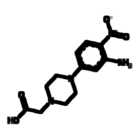 Nc1cc(N2CCN(CC(=O)O)CC2)ccc1[N+](=O)[O-]